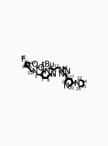 CC(C)(C)OC(=O)N(Cc1ccc2nc(Cn3cnc(-c4cncc(N5CCCC5)c4)n3)cn2c1)CC12CC(F)(C1)C2